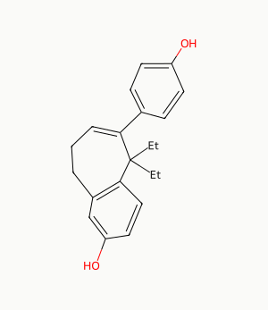 CCC1(CC)C(c2ccc(O)cc2)=CCCc2cc(O)ccc21